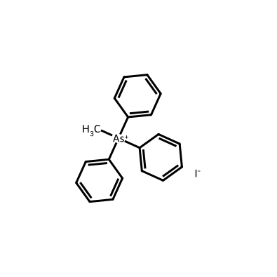 C[As+](c1ccccc1)(c1ccccc1)c1ccccc1.[I-]